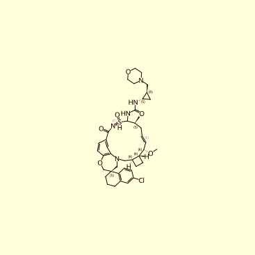 CO[C@H]1/C=C/C[C@H](C)C(NC(=O)N[C@H]2C[C@@H]2CN2CCOCC2)/[SH](=O)=N\C(=O)c2ccc3c(c2)N(C[C@@H]2CC[C@H]21)C[C@@]1(CCCc2cc(Cl)ccc21)CO3